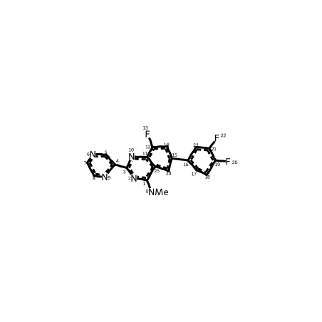 CNc1nc(-c2cnccn2)nc2c(F)cc(-c3ccc(F)c(F)c3)cc12